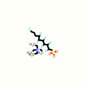 CC[N+](CC)(CC)CC.O=S(=O)([O-])CC(F)C(F)C(F)C(F)C(F)C(F)CCCF